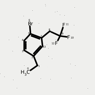 CCc1ccc(Br)c(CC(F)(F)F)c1